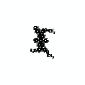 CCCOc1ccc(N(c2ccc(CC)cc2)c2ccc3c4c(-c5ccccc5)c5c6cccc7c(N(c8ccc(CC)cc8)c8ccc(OCCC)cc8)ccc(c5c(-c5ccccc5)c4c4cccc2c43)c76)cc1